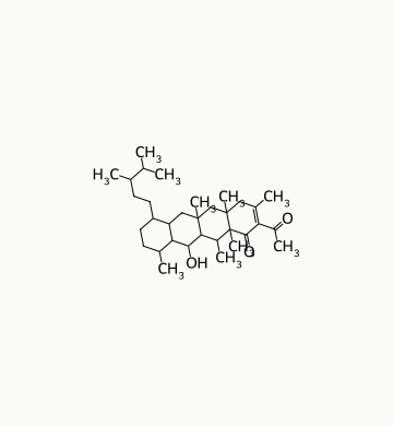 CC(=O)C1=C(C)CC2(C)CC3(C)CC4C(CCC(C)C(C)C)CCC(C)C4C(O)C3C(C)C2(C)C1=O